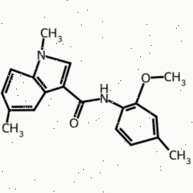 COc1cc(C)ccc1NC(=O)c1cn(C)c2ccc(C)cc12